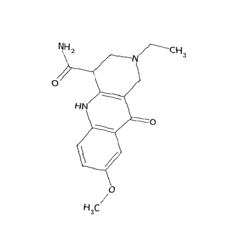 CCN1Cc2c([nH]c3ccc(OC)cc3c2=O)C(C(N)=O)C1